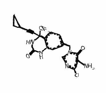 Nc1c(Cl)ncn(Cc2ccc3c(c2)NC(=O)NC3(C#CC2CC2)C(F)(F)F)c1=O